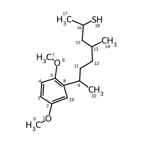 COc1ccc(OC)c(C(C)CCC(C)CC(C)S)c1